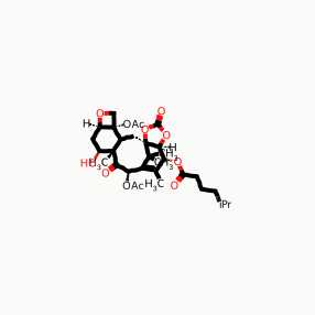 CC(=O)O[C@H]1C(=O)[C@@]2(C)C(C[C@]34OC(=O)O[C@H]3[C@H](OC(=O)CCCC(C)C)C(C)=C1C4(C)C)[C@]1(OC(C)=O)CO[C@@H]1C[C@@H]2O